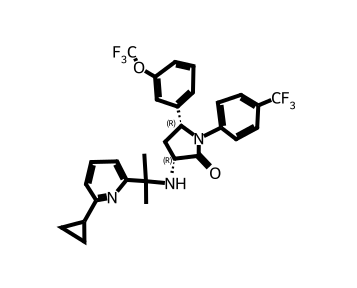 CC(C)(N[C@@H]1C[C@H](c2cccc(OC(F)(F)F)c2)N(c2ccc(C(F)(F)F)cc2)C1=O)c1cccc(C2CC2)n1